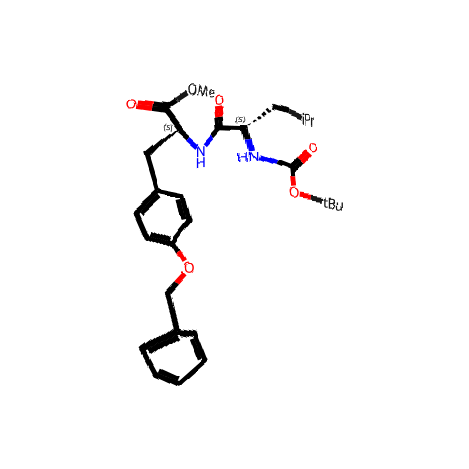 COC(=O)[C@H](Cc1ccc(OCc2ccccc2)cc1)NC(=O)[C@H](CC(C)C)NC(=O)OC(C)(C)C